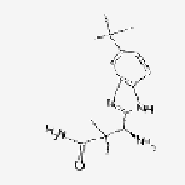 CC(C)(C)c1ccc2[nH]c([C@@H](N)C(C)(C)C(N)=O)nc2c1